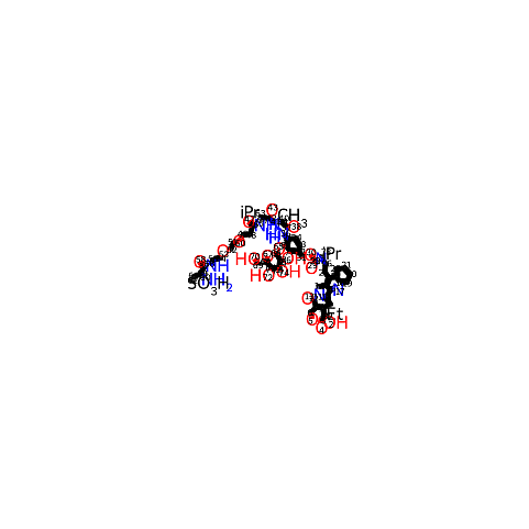 CC[C@@]1(O)C(=O)OCc2c1cc1n(c2=O)Cc2c-1nc1ccccc1c2CCN(C(=O)OCc1ccc(NC(=O)[C@H](C)NC(=O)[C@@H](NC(=O)CCOCCOCCNC(=O)[C@@H](N)CS(=O)(=O)O)C(C)C)c(O[C@@H]2O[C@H](CO)[C@H](O)[C@H](O)[C@H]2O)c1)C(C)C